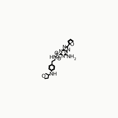 Nc1nc(S(=O)(=O)NCCc2ccc(NC3CCOC3)cc2)nc2nc(-c3ccco3)nn12